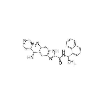 CC(NC(=O)c1nc2cc(C(=N)c3ccncc3)c(N)cc2[nH]1)c1cccc2ccccc12